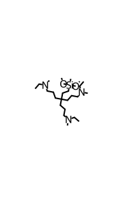 CCN(C)CCCC(CCCN(C)CC)(CCCN(C)CC)CC[Si](C)(OC)OC